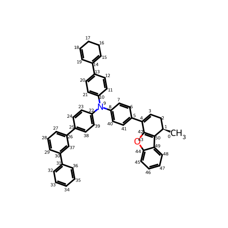 C[C@@H]1CC=C(c2ccc(N(c3ccc(C4=CCCC=C4)cc3)c3ccc(-c4cccc(-c5ccccc5)c4)cc3)cc2)c2oc3ccccc3c21